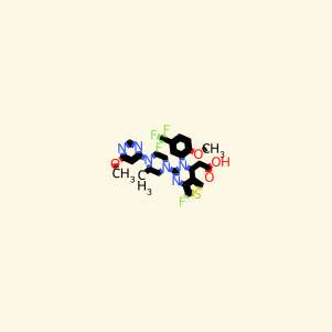 COc1cc(N2CCN(C3=Nc4c(csc4F)C(CC(=O)O)N3c3cc(C(F)(F)F)ccc3OC)CC2C)ncn1